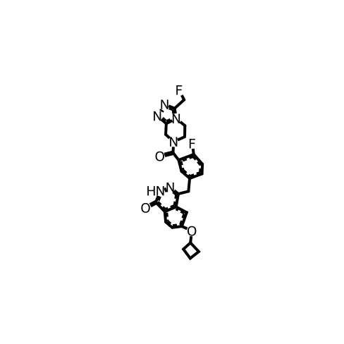 O=C(c1cc(Cc2n[nH]c(=O)c3ccc(OC4CCC4)cc23)ccc1F)N1CCn2c(CF)nnc2C1